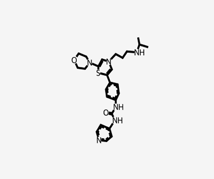 CC(C)NCCCN1C=C(c2ccc(NC(=O)Nc3ccncc3)cc2)SC(N2CCOCC2)=C1